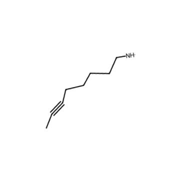 CC#CCCCCC[NH]